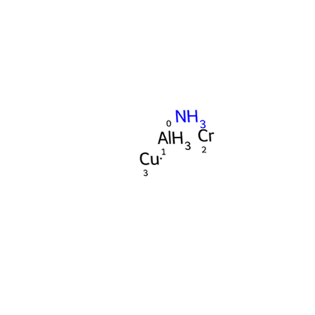 N.[AlH3].[Cr].[Cu]